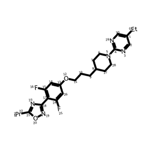 CCc1cnc(N2CCC(CCCOc3cc(F)c(-c4noc(C(C)C)n4)c(F)c3)CC2)nc1